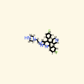 Fc1ccc(-c2nc3nn(CCN4CCNCC4)cc3c(-c3ccc(F)cc3)c2-c2ccncc2)cc1